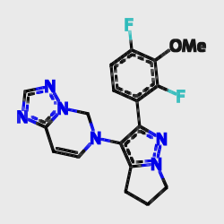 COc1c(F)ccc(-c2nn3c(c2N2C=Cc4ncnn4C2)CCC3)c1F